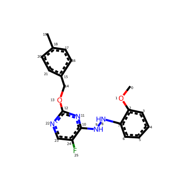 COc1ccccc1NNc1nc(OCc2ccc(C)cc2)ncc1F